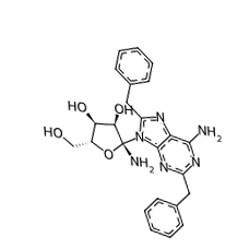 Nc1nc(Cc2ccccc2)nc2c1nc(Cc1ccccc1)n2[C@]1(N)O[C@H](CO)[C@@H](O)[C@H]1O